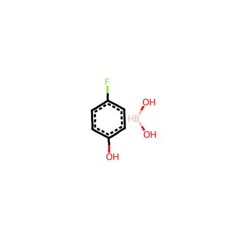 OBO.Oc1ccc(F)cc1